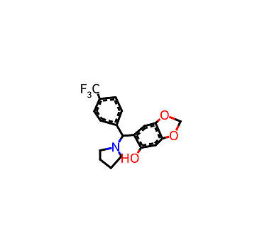 Oc1cc2c(cc1C(c1ccc(C(F)(F)F)cc1)N1CCCC1)OCO2